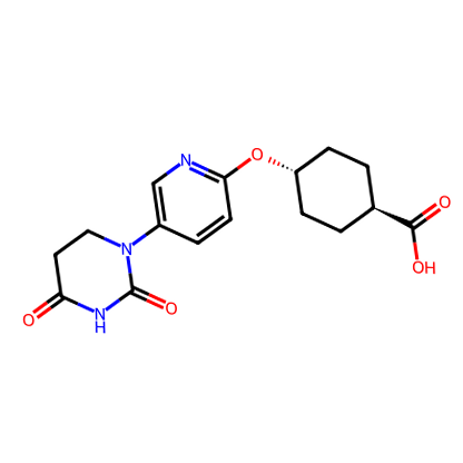 O=C1CCN(c2ccc(O[C@H]3CC[C@H](C(=O)O)CC3)nc2)C(=O)N1